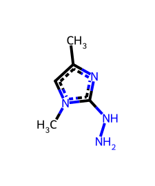 Cc1cn(C)c(NN)n1